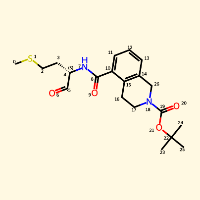 CSCC[C@@H]([C]=O)NC(=O)c1cccc2c1CCN(C(=O)OC(C)(C)C)C2